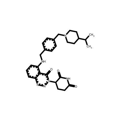 CC(C)C1CCN(Cc2ccc(CNc3cccc4nnn(C5CCC(=O)NC5=O)c(=O)c34)cc2)CC1